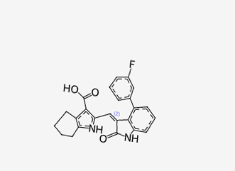 O=C1Nc2cccc(-c3cccc(F)c3)c2/C1=C/c1[nH]c2c(c1C(=O)O)CCCC2